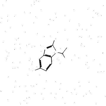 CC(O)n1c(N)nc2cc(C#N)ccc21